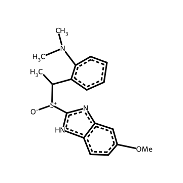 COc1ccc2[nH]c([S+]([O-])C(C)c3ccccc3N(C)C)nc2c1